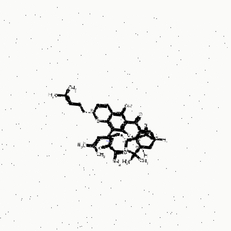 CC(C)=CCC[C@@H]1C=Cc2c(O)c3c(c(CC=C(C)C)c2O1)O[C@]12C(=C[C@@H]4C[C@H]1C(C)(C)O[C@@]2(C/C=C(/C)C(N)=O)C4=O)C3=O